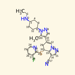 CCN[C@H]1CC[C@@H](n2ncc(C3=Cn4ncc(C#N)c4C(Sc4ncccc4F)C3)c2C)CC1